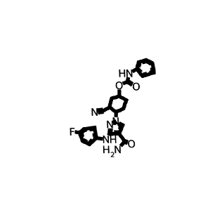 N#CC1CC(OC(=O)Nc2ccccc2)CCC1n1cc(C(N)=O)c(Nc2ccc(F)cc2)n1